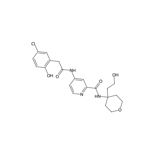 O=C(Cc1cc(Cl)ccc1O)Nc1ccnc(C(=O)NC2(CCO)CCOCC2)c1